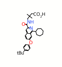 CC(C)(CNC(=O)c1cc2ccc(Oc3ccc(C(C)(C)C)cc3)cc2c(C2CCCCCC2)n1)CC(=O)O